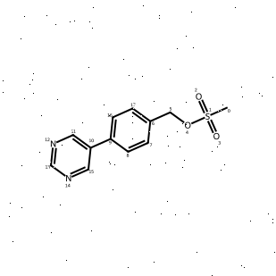 CS(=O)(=O)OCc1ccc(-c2cncnc2)cc1